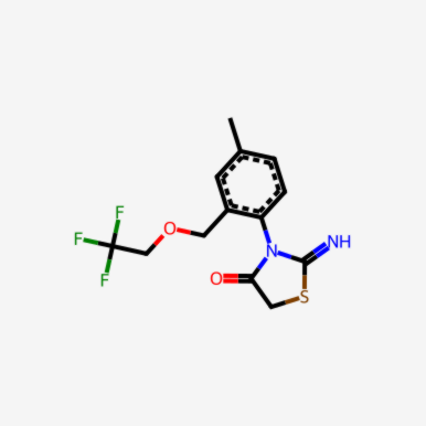 Cc1ccc(N2C(=N)SCC2=O)c(COCC(F)(F)F)c1